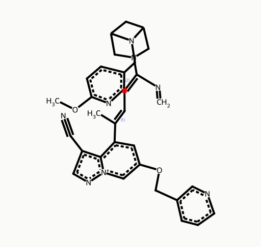 C=N/C(=C\C=C(/C)c1cc(OCc2cccnc2)cn2ncc(C#N)c12)N1CC2CC(C1)N2Cc1ccc(OC)nc1